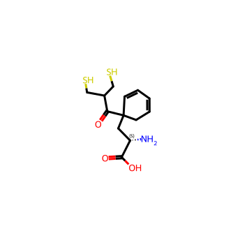 N[C@@H](CC1(C(=O)C(CS)CS)C=CC=CC1)C(=O)O